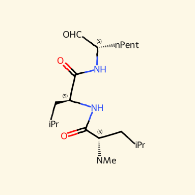 CCCCC[C@@H](C=O)NC(=O)[C@H](CC(C)C)NC(=O)[C@H](CC(C)C)NC